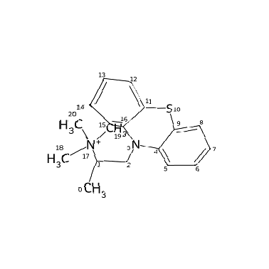 CC(CN1c2ccccc2Sc2ccccc21)[N+](C)(C)C